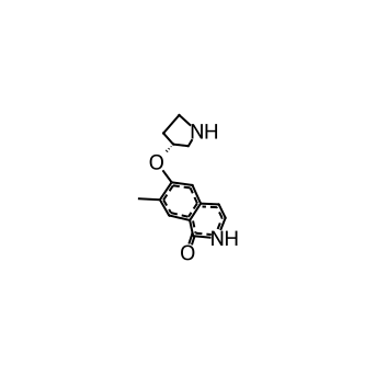 Cc1cc2c(=O)[nH]ccc2cc1O[C@@H]1CCNC1